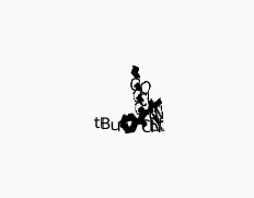 C=CCOC(=O)OCO/C(=C(/C#N)c1ccc(C(C)(C)C)cc1)c1c(Cl)c(C)nn1CC